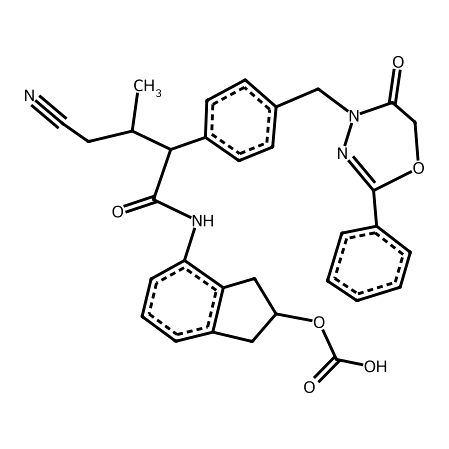 CC(CC#N)C(C(=O)Nc1cccc2c1CC(OC(=O)O)C2)c1ccc(CN2N=C(c3ccccc3)OCC2=O)cc1